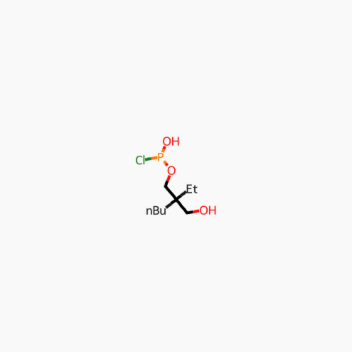 CCCCC(CC)(CO)COP(O)Cl